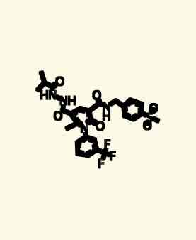 Cc1c(C(=O)NNC(=O)C(C)C)cc(C(=O)NCc2ccc(S(C)(=O)=O)cc2)c(=O)n1-c1cccc(C(F)(F)F)c1